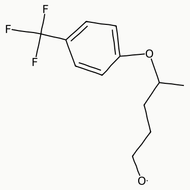 CC(CCC[O])Oc1ccc(C(F)(F)F)cc1